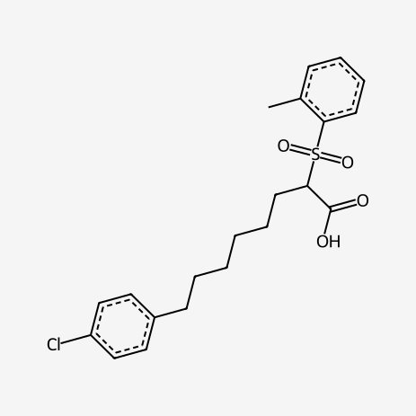 Cc1ccccc1S(=O)(=O)C(CCCCCCc1ccc(Cl)cc1)C(=O)O